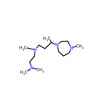 CC(CCN(C)CCN(C)C)N1CCCN(C)CC1